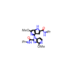 COc1cc2[nH]c(C(=O)NC(C)C)cc2c(-n2c(C(=O)NC(C)C)nc3c(OC)nccc32)n1